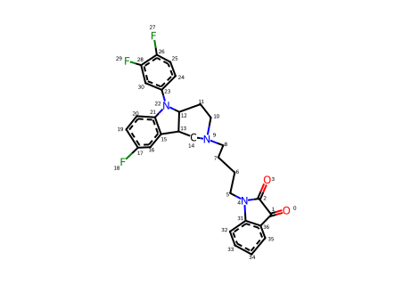 O=C1C(=O)N(CCCCN2CCC3C(C2)c2cc(F)ccc2N3c2ccc(F)c(F)c2)c2ccccc21